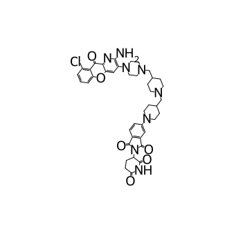 Nc1nc2c(=O)c3c(Cl)cccc3oc2cc1N1CCN(CC2CCN(CC3CCN(c4ccc5c(c4)C(=O)N(C4CCC(=O)NC4=O)C5=O)CC3)CC2)CC1